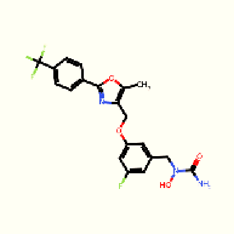 Cc1oc(-c2ccc(C(F)(F)F)cc2)nc1COc1cc(F)cc(CN(O)C(N)=O)c1